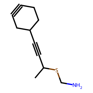 CC(C#CC1CC#CCC1)SCN